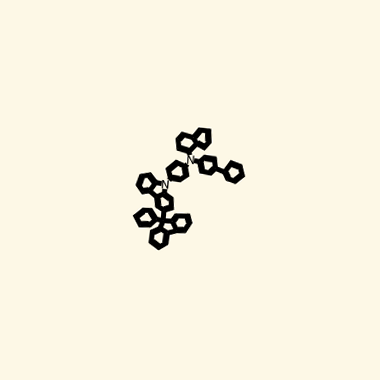 c1ccc(-c2ccc(N(c3ccc(-n4c5ccccc5c5cc(C6(c7ccccc7)c7ccccc7-c7ccccc76)ccc54)cc3)c3cccc4ccccc34)cc2)cc1